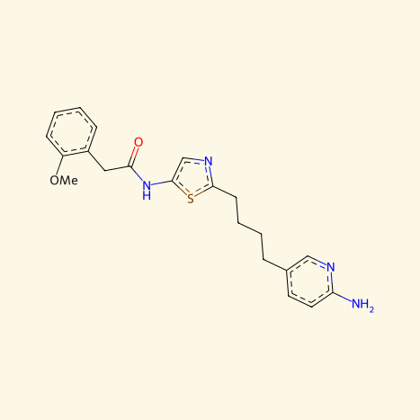 COc1ccccc1CC(=O)Nc1cnc(CCCCc2ccc(N)nc2)s1